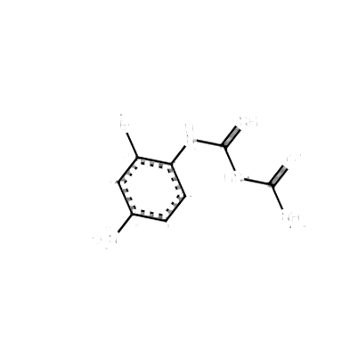 N=C(NC(N)=O)Nc1ccc([N+](=O)[O-])cc1Br